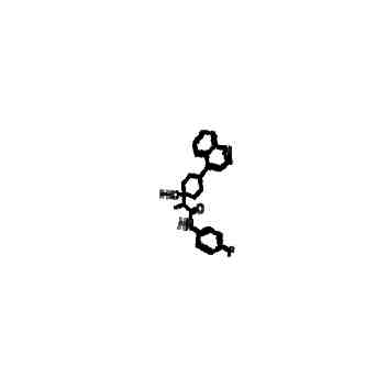 CC(C(=O)Nc1ccc(F)cc1)C1(O)CCC(c2ccnc3ccccc23)CC1